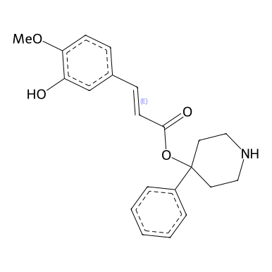 COc1ccc(/C=C/C(=O)OC2(c3ccccc3)CCNCC2)cc1O